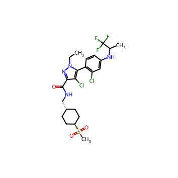 CCn1nc(C(=O)NC[C@H]2CC[C@H](S(C)(=O)=O)CC2)c(Cl)c1-c1ccc(NC(C)C(F)(F)F)cc1Cl